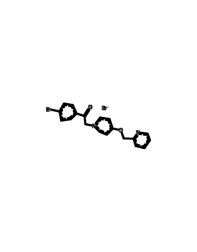 O=C(C[n+]1ccc(OCc2ccccn2)cc1)c1ccc(Br)cc1.[Br-]